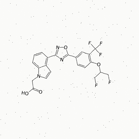 O=C(O)Cn1ccc2c(-c3noc(-c4ccc(OC(CF)CF)c(C(F)(F)F)c4)n3)cccc21